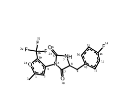 Cc1cc(N2C(=O)NC(Cc3ccc(F)cc3)C2=O)c(C(F)(F)F)o1